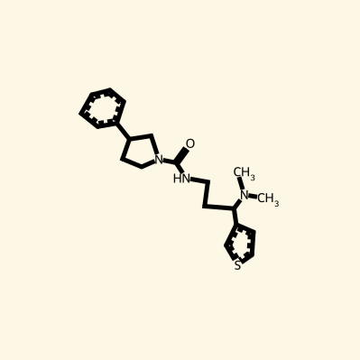 CN(C)C(CCNC(=O)N1CCC(c2ccccc2)C1)c1ccsc1